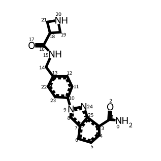 NC(=O)c1cccc2cn(-c3ccc(CNC(=O)C4CNC4)cc3)nc12